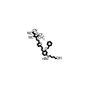 CCCCN(CCCCO)c1ccc(/C=C/c2ccc(/C=C/C3=C(C#N)C(=C(C#N)C#N)OC3(C)C(F)(F)F)s2)c(OCc2ccccc2)c1